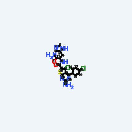 NC(=O)C(Cc1cnc[nH]1)NC(=O)c1cc2c(-c3ccc(Cl)cc3Cl)nc(N)nc2s1